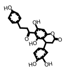 O=C1CC(c2ccc(O)c(O)c2)c2c(cc(O)c(C(=O)CCc3ccc(O)cc3)c2O)O1